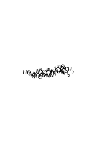 C[C@@H]1OCC2(CCN(c3cnc4nc(Sc5ccnc(N6CC[C@@H](CO)C6)c5Cl)ccc4n3)CC2)[C@@H]1N